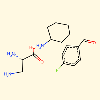 NC1CCCCC1.NC[C@H](N)C(=O)O.O=Cc1ccc(F)cc1